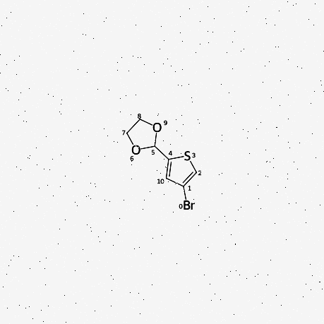 Brc1csc(C2OCCO2)c1